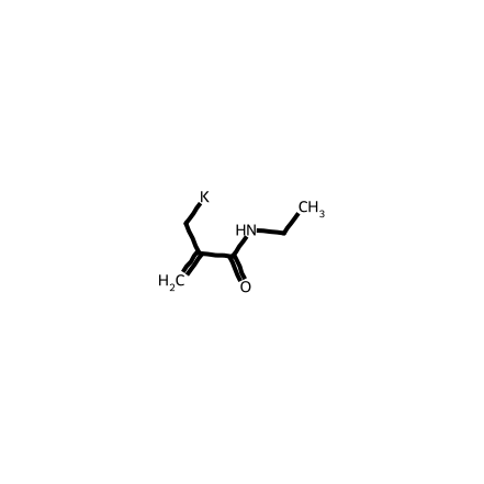 C=C([CH2][K])C(=O)NCC